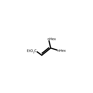 CCCCCCC(=CC(=O)OCC)CCCCCC